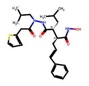 CC(C)C[C@@H](C(=O)NN(CC(C)C)C(=O)Cc1cccs1)[C@H](CC=Cc1ccccc1)C(=O)NO